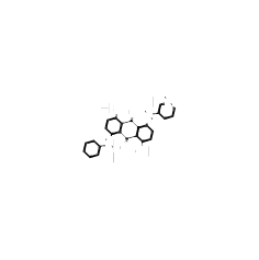 O=C1c2c(O)ccc(Nc3cccnc3)c2C(=O)c2c(O)ccc(Nc3ccccc3)c21